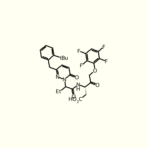 CCC(C(=O)N[C@@H](CC(=O)O)C(=O)COc1c(F)c(F)cc(F)c1F)n1nc(Cc2ccccc2C(C)(C)C)ccc1=O